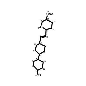 CCCC1CCC(C2CCC(/C=C/C3CCC(OC)CO3)CC2)CC1